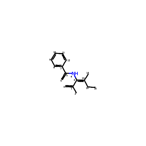 C=C(C)/C(NC(=C)c1ccccc1)=C(/C)CC